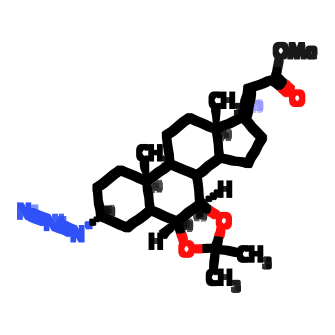 COC(=O)/C=C1\CCC2C3C(CC[C@]12C)[C@@]1(C)CC[C@@H](N=[N+]=[N-])CC1[C@H]1OC(C)(C)O[C@H]31